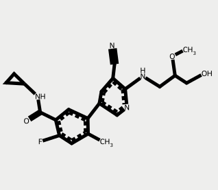 COC(CO)CNc1ncc(-c2cc(C(=O)NC3CC3)c(F)cc2C)cc1C#N